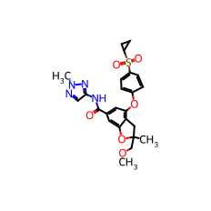 COCC1(C)Cc2c(Oc3ccc(S(=O)(=O)C4CC4)cc3)cc(C(=O)Nc3cnn(C)n3)cc2O1